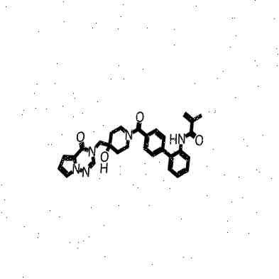 C=C(C)C(=O)Nc1ccccc1-c1ccc(C(=O)N2CCC(O)(Cn3cnn4cccc4c3=O)CC2)cc1